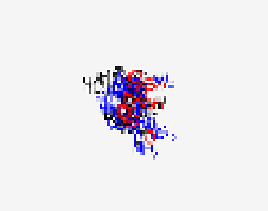 CC(C)C[C@H](NC(=O)[C@H](Cc1ccc(O)cc1)NC(=O)[C@H](CCCNC(=N)N)NC(=O)[C@H](Cc1ccc(O)cc1)NC(=O)[C@H](CCCCN)NC(=O)[C@H](CC(=O)O)NC(=O)[C@H](CCC(=O)O)NC(=O)[C@H](CC(C)C)NC(=O)[C@@H](N)Cc1c[nH]cn1)C(=O)N[C@@H](Cc1ccccc1)C(=O)N[C@@H](CCCCN)C(=O)N[C@@H](CCC(N)=O)C(=O)N[C@H](C(=O)N[C@@H](C)C(=O)N[C@@H](CO)C(=O)O)C(C)C